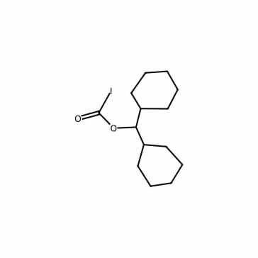 O=C(I)OC(C1CCCCC1)C1CCCCC1